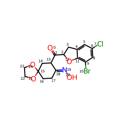 O=C(C1Cc2cc(Cl)cc(Br)c2O1)C1CC2(CCC1=NO)OCCO2